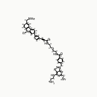 CCCSc1nc(NCCN)c2nnn(Cc3ccc(C(=O)NCCOCCNC(=O)C#Cc4csc(-c5ccc6c7cc(CNC)ccc7n(CC)c6c5)c4)cc3)c2n1